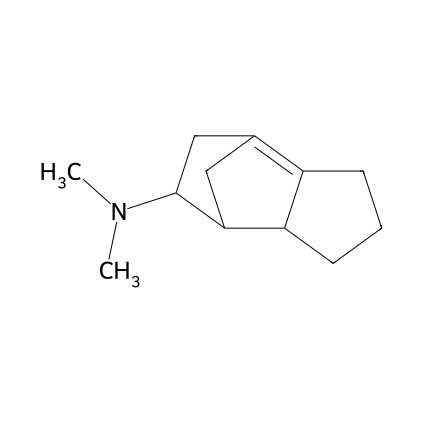 CN(C)C1CC2=C3CCCC3C1C2